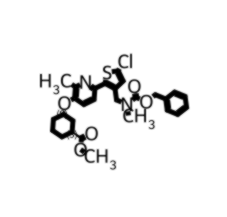 COC(=O)[C@H]1CCC[C@H](Oc2ccc(-c3sc(Cl)cc3CN(C)C(=O)OCc3ccccc3)nc2C)C1